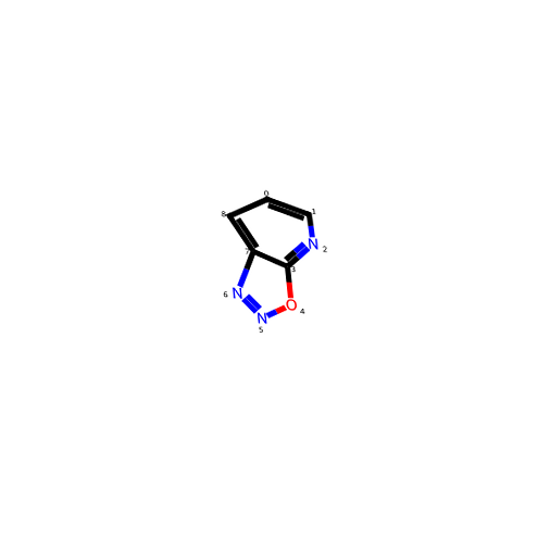 c1cnc2onnc2c1